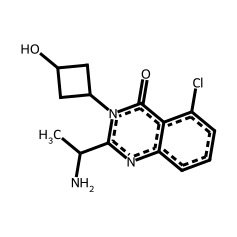 CC(N)c1nc2cccc(Cl)c2c(=O)n1C1CC(O)C1